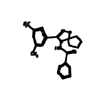 Cc1cc(C)cc(C2=NOC3(CCCC3)N2NC(=O)c2ccccc2)c1